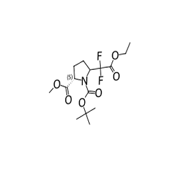 CCOC(=O)C(F)(F)C1CC[C@@H](C(=O)OC)N1C(=O)OC(C)(C)C